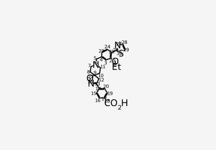 CCOc1cc(CN2CCC3(CC2)CC(c2ccc(C(=O)O)cc2)=NO3)ccc1-c1nccs1